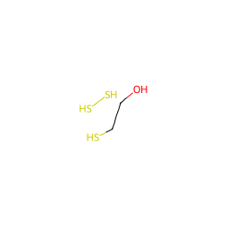 OCCS.SS